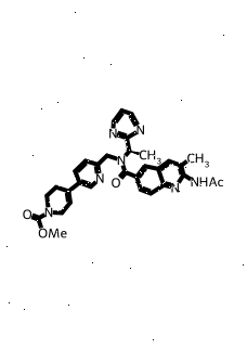 COC(=O)N1CC=C(c2ccc(CN(C(=O)c3ccc4nc(NC(C)=O)c(C)cc4c3)[C@H](C)c3ncccn3)nc2)CC1